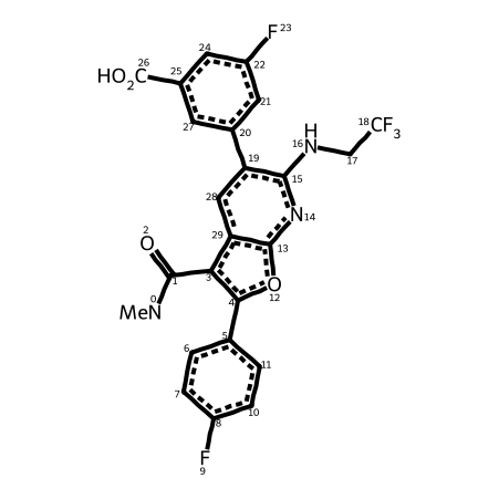 CNC(=O)c1c(-c2ccc(F)cc2)oc2nc(NCC(F)(F)F)c(-c3cc(F)cc(C(=O)O)c3)cc12